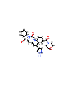 CC(=O)N1/C(=C\c2cc(-c3cn[nH]c3)c3cc(C(=O)N4CCOCC4)ccc3n2)C(=O)c2ccccc21